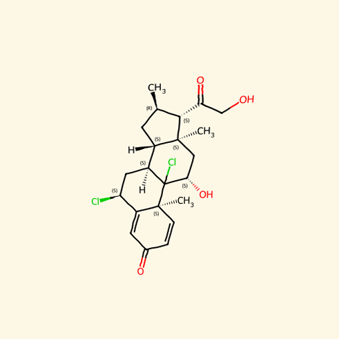 C[C@@H]1C[C@H]2[C@@H]3C[C@H](Cl)C4=CC(=O)C=C[C@]4(C)C3(Cl)[C@@H](O)C[C@]2(C)[C@H]1C(=O)CO